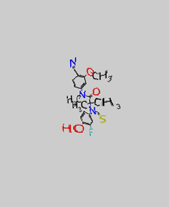 COc1cc(N(C)C(=O)C(C)(C)N(C=S)c2ccc(O)c(F)c2)ccc1C#N